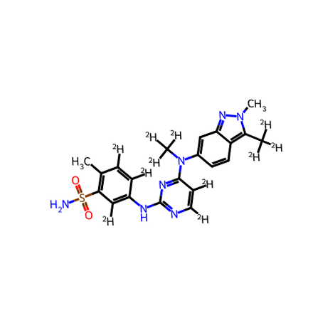 [2H]c1nc(Nc2c([2H])c([2H])c(C)c(S(N)(=O)=O)c2[2H])nc(N(c2ccc3c(C([2H])([2H])[2H])n(C)nc3c2)C([2H])([2H])[2H])c1[2H]